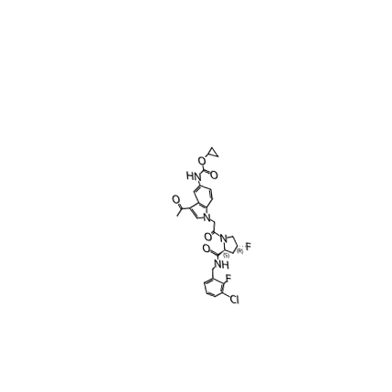 CC(=O)c1cn(CC(=O)N2C[C@H](F)C[C@H]2C(=O)NCc2cccc(Cl)c2F)c2ccc(NC(=O)OC3CC3)cc12